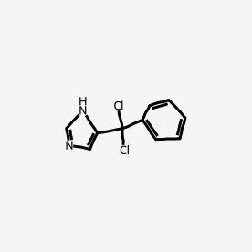 ClC(Cl)(c1ccccc1)c1cnc[nH]1